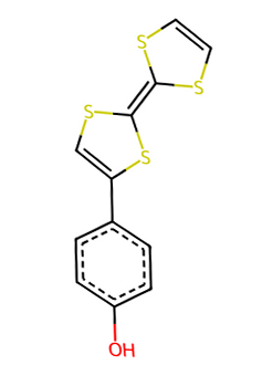 Oc1ccc(C2=CSC(=C3SC=CS3)S2)cc1